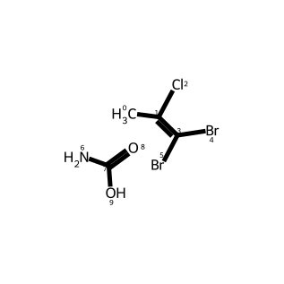 CC(Cl)=C(Br)Br.NC(=O)O